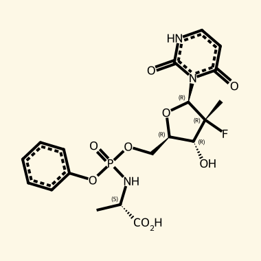 C[C@H](NP(=O)(OC[C@H]1O[C@@H](n2c(=O)cc[nH]c2=O)[C@](C)(F)[C@@H]1O)Oc1ccccc1)C(=O)O